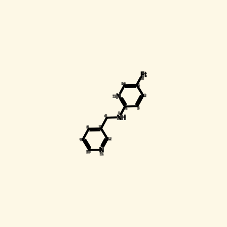 CCc1ccc(NCc2cccnc2)nc1